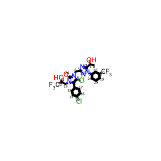 CC(O)c1nc(Cn2c(Cl)c(-c3ccc(Cl)cc3)n(CC(O)C(F)(F)F)c2=O)nn1-c1cccc(C(F)(F)F)c1